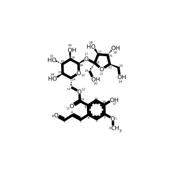 COc1cc(C=CC=O)c(C(=O)OC[C@H]2O[C@H](O[C@]3(CO)O[C@H](CO)[C@@H](O)[C@@H]3O)[C@H](O)[C@@H](O)[C@@H]2O)cc1O